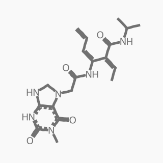 C=C/C=C(NC(=O)CN1CNc2[nH]c(=O)n(C)c(=O)c21)\C(=C/C)C(=O)NC(C)C